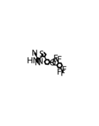 N#Cc1[nH]nnc1-c1sccc1-c1cccc(OCc2cc(C(F)(F)F)ccc2C(F)(F)F)c1